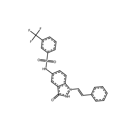 O=c1[nH]n(C=Cc2ccccc2)c2ccc(NS(=O)(=O)c3cccc(C(F)(F)F)c3)cc12